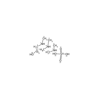 CNC.CNC.CNC.CO.O=S(=O)(O)O